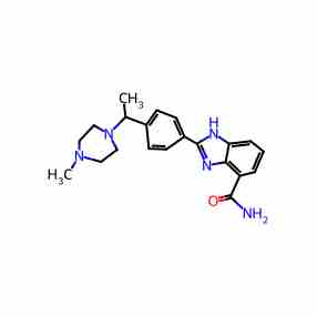 CC(c1ccc(-c2nc3c(C(N)=O)cccc3[nH]2)cc1)N1CCN(C)CC1